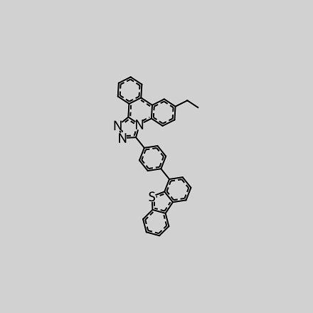 CCc1ccc2c(c1)c1ccccc1c1nnc(-c3ccc(-c4cccc5c4sc4ccccc45)cc3)n21